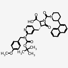 COc1ccc(CN(C(=O)OC(C)(C)C)c2cc(C[C@H]3C(=O)N(C(=O)N4CCCC(c5cccc6ccccc56)C4)[C@@H]3C(=O)O)ccn2)cc1